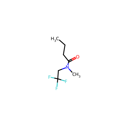 CCCC(=O)N(C)CC(F)(F)F